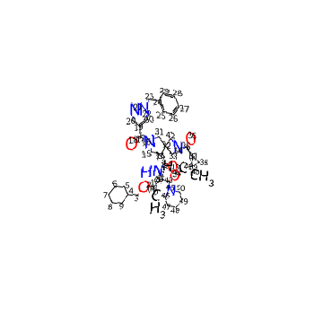 C[C@@H](OCC1CCCCC1)[C@H](NC(=O)[C@@H]1CN(C(=O)c2cnn(Cc3ccccc3)c2)CC12CN(C(=O)[C@H]1CC1(C)C)C2)C(=O)N1CCCCC1